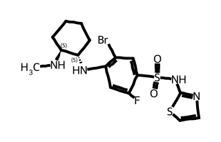 CN[C@H]1CCCC[C@@H]1Nc1cc(F)c(S(=O)(=O)Nc2nccs2)cc1Br